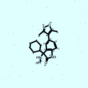 CCCNC1(C2CCCCC2)C(=O)Nc2ccc(-c3c(C)noc3C)cc21